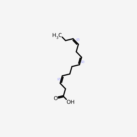 CC/C=C\C/C=C\CC/C=C\CC(=O)O